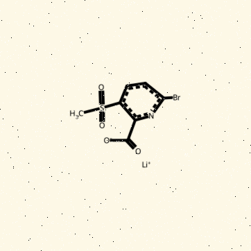 CS(=O)(=O)c1ccc(Br)nc1C(=O)[O-].[Li+]